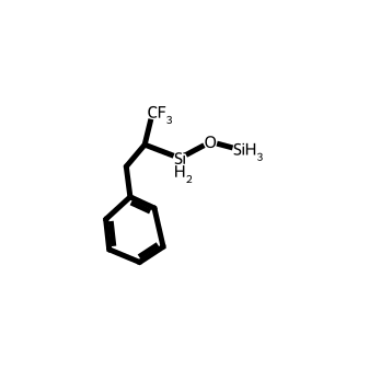 FC(F)(F)C(Cc1ccccc1)[SiH2]O[SiH3]